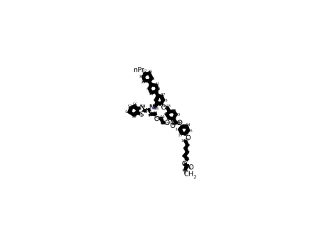 C=CC(=O)OCCCCCCOc1ccc(OC(=O)C2CCC(COc3ccc(C4CCC(C5CCC(CCC)CC5)CC4)cc3/C=N/N(CCOCCOC)c3nc4ccccc4s3)CC2)cc1